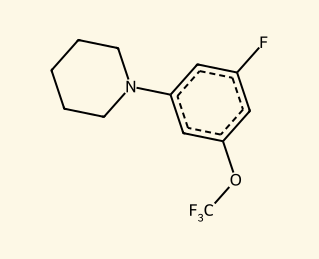 Fc1cc(OC(F)(F)F)cc(N2CCCCC2)c1